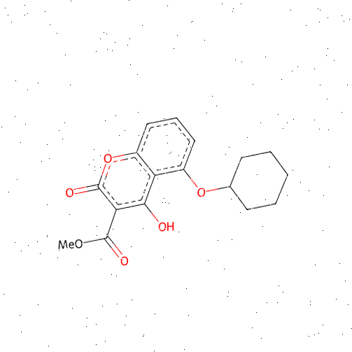 COC(=O)c1c(O)c2c(OC3CCCCC3)cccc2oc1=O